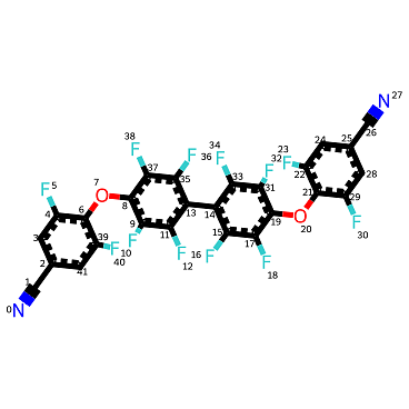 N#Cc1cc(F)c(Oc2c(F)c(F)c(-c3c(F)c(F)c(Oc4c(F)cc(C#N)cc4F)c(F)c3F)c(F)c2F)c(F)c1